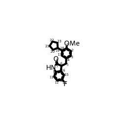 COc1ccc(CC2C(=O)Nc3ccc(F)cc32)cc1C1CCCC1